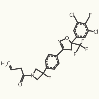 C=CCC(=O)N1CC(F)(c2ccc(C3=NOC(c4cc(Cl)c(F)c(Cl)c4)(C(F)(F)F)C3)cc2)C1